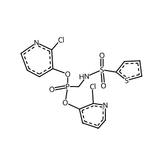 O=P(CNS(=O)(=O)c1cccs1)(Oc1cccnc1Cl)Oc1cccnc1Cl